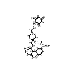 COc1ccc2ncc(CF)c(C(O)CCC3(C(=O)O)CCN(CCSc4c(F)cc(F)cc4F)CC3)c2c1